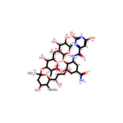 CC(=O)NC1C(O)CC(OC2C(C)C(OC3CC(C(N)=O)CC(NC(=O)c4cc(O)nc(O)n4)C3OC3OC(C)C(O)C(O)C3O)OC(CO)C2O)(C(=O)O)OC1[C@H](O)[C@H](O)CO